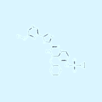 CCOc1cncc(-c2cnc(C(=O)N[C@@H](CN3CCCCC3)c3cc(NS(=O)(=O)C4CC4)ccn3)s2)n1